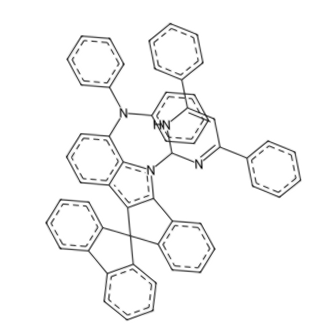 C1=C(c2ccccc2)NC(n2c3c(c4cccc(N(c5ccccc5)c5ccccc5)c42)C2(c4ccccc4-c4ccccc42)c2ccccc2-3)N=C1c1ccccc1